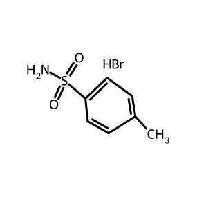 Br.Cc1ccc(S(N)(=O)=O)cc1